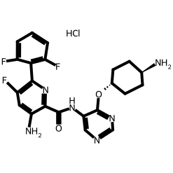 Cl.Nc1cc(F)c(-c2c(F)cccc2F)nc1C(=O)Nc1cncnc1O[C@H]1CC[C@H](N)CC1